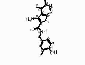 Cc1cc(CNC(=O)c2sc3nnc(C)c(C)c3c2N)ccc1O